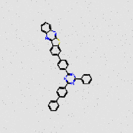 c1ccc(-c2ccc(-c3nc(-c4ccccc4)nc(-c4ccc(-c5ccc6c(c5)sc5nc7ccccc7nc56)cc4)n3)cc2)cc1